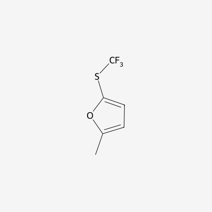 Cc1ccc(SC(F)(F)F)o1